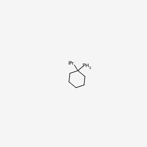 CC(C)C1(P)CCCCC1